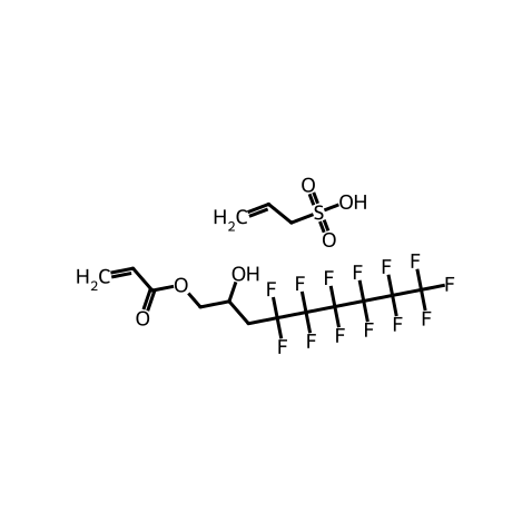 C=CC(=O)OCC(O)CC(F)(F)C(F)(F)C(F)(F)C(F)(F)C(F)(F)C(F)(F)F.C=CCS(=O)(=O)O